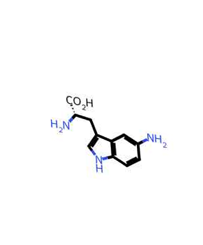 Nc1ccc2[nH]cc(C[C@H](N)C(=O)O)c2c1